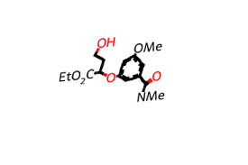 CCOC(=O)C(CCO)Oc1cc(OC)cc(C(=O)NC)c1